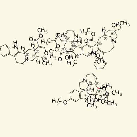 CC[C@]1(O)C[C@@H]2C[N@@](CCc3c([nH]c4ccccc34)[C@@](C(=O)OC)(c3cc4c(cc3OC)N(C)[C@H]3[C@@](O)(C(=O)OC)[C@H](OC(C)=O)[C@]5(CC)C=CCN6CC[C@]43[C@@H]65)C2)C1.CC[C@]12C=CCN3CC[C@@]4(c5ccc(OC)cc5N(C)[C@H]4[C@@](O)(C(=O)OC)[C@@H]1OC(C)=O)[C@@H]32.COC(=O)C1=CO[C@@H](C)[C@H]2CN3CCc4c([nH]c5ccccc45)[C@@H]3C[C@H]12